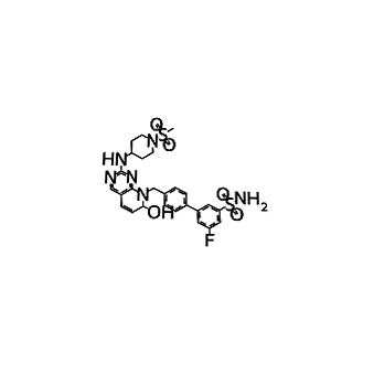 CS(=O)(=O)N1CCC(Nc2ncc3c(n2)N(Cc2ccc(-c4cc(F)cc(S(N)(=O)=O)c4)cc2)C(O)C=C3)CC1